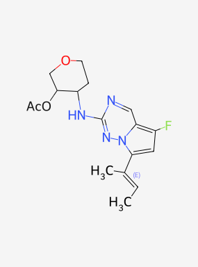 C/C=C(\C)c1cc(F)c2cnc(NC3CCOCC3OC(C)=O)nn12